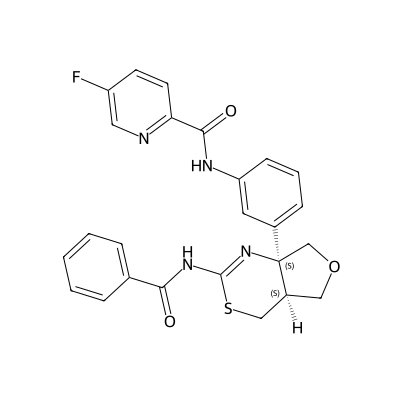 O=C(NC1=N[C@@]2(c3cccc(NC(=O)c4ccc(F)cn4)c3)COC[C@H]2CS1)c1ccccc1